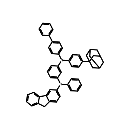 c1ccc(-c2ccc(N(c3ccc(C45CC6CC(CC(C6)C4)C5)cc3)c3cccc(N(c4ccccc4)c4ccc5c(c4)-c4ccccc4C5)c3)cc2)cc1